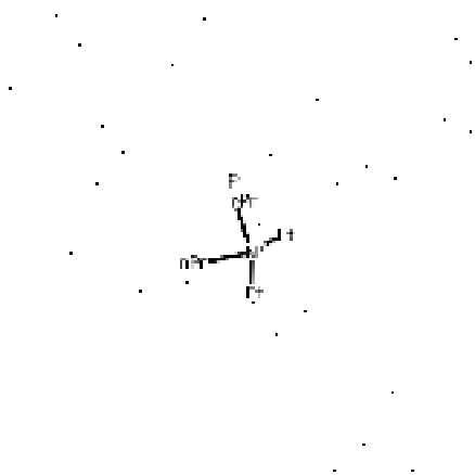 CCC[N+](CC)(CC)CCC.[F-]